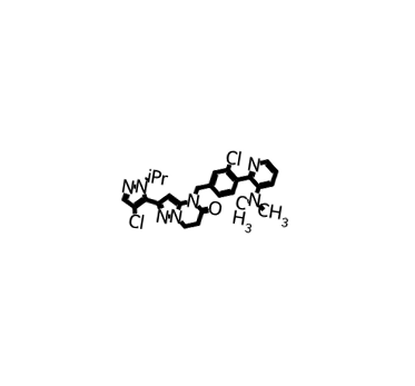 CC(C)n1ncc(Cl)c1-c1cc2n(n1)CCC(=O)N2Cc1ccc(-c2ncccc2N(C)C)c(Cl)c1